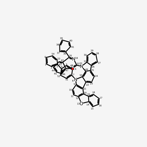 c1ccc(-c2ccc(-n3c4ccc5oc6ccccc6c5c4c4ccc5c6ccccc6n(-c6nc(-c7ccccc7)c7ccccc7n6)c5c43)cc2)cc1